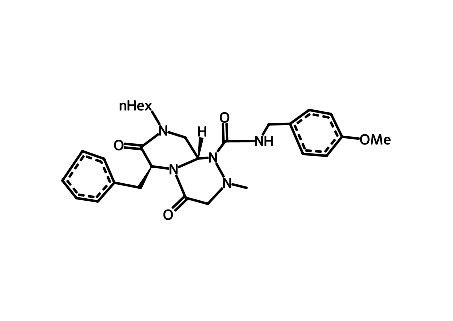 CCCCCCN1C[C@H]2N(C(=O)CN(C)N2C(=O)NCc2ccc(OC)cc2)[C@@H](Cc2ccccc2)C1=O